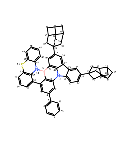 c1ccc(-c2cc3c4c(c2)-n2c5ccc(C67CC8CC9CC8(C6)C9C7)cc5c5cc(C67CC8CC9CC(C6)C98C7)cc(c52)B4N2c4ccccc4Sc4cccc-3c42)cc1